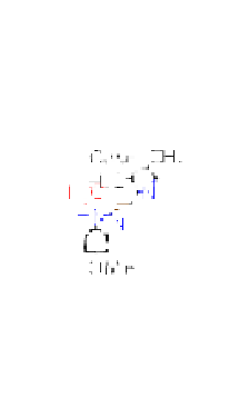 COc1ccc2[nH]c(SCc3ncc(C)c(OC)c3C)nc2c1.O